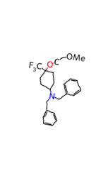 COCCOC1(C(F)(F)F)CCC(N(Cc2ccccc2)Cc2ccccc2)CC1